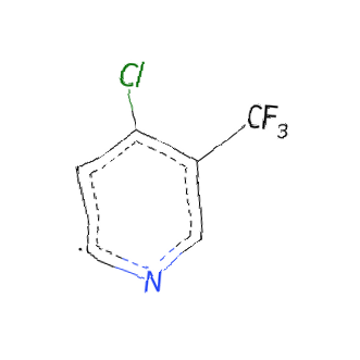 FC(F)(F)c1cn[c]cc1Cl